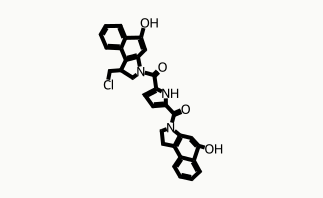 O=C(c1ccc(C(=O)N2CC(CCl)c3c2cc(O)c2ccccc32)[nH]1)N1CCc2c1cc(O)c1ccccc21